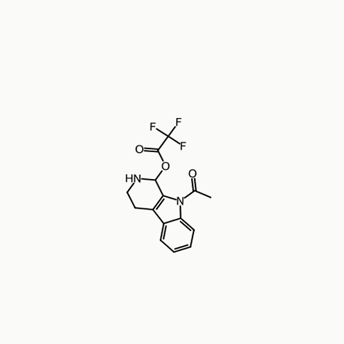 CC(=O)n1c2c(c3ccccc31)CCNC2OC(=O)C(F)(F)F